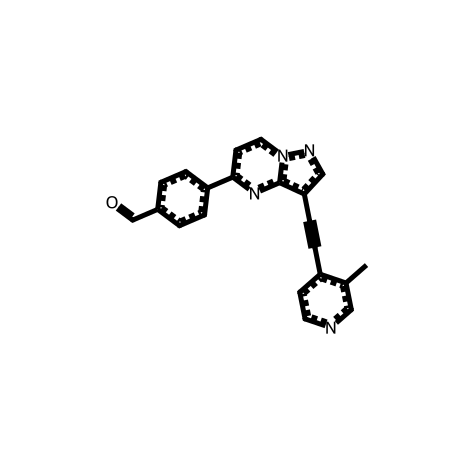 Cc1cnccc1C#Cc1cnn2ccc(-c3ccc(C=O)cc3)nc12